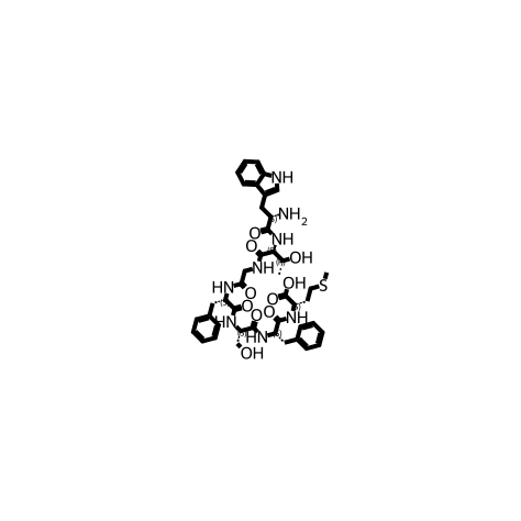 CSCC[C@H](NC(=O)[C@H](Cc1ccccc1)NC(=O)[C@H](CO)NC(=O)[C@H](Cc1ccccc1)NC(=O)CNC(=O)[C@@H](NC(=O)[C@@H](N)Cc1c[nH]c2ccccc12)[C@@H](C)O)C(=O)O